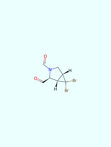 O=C[C@@H]1[C@@H]2[C@H](CN1C=O)C2(Br)Br